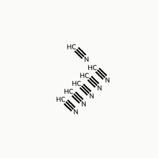 C#N.C#N.C#N.C#N.C#N.C#N